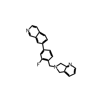 Fc1cc(-c2ccc3ccncc3c2)ccc1CN1Cc2cccnc2C1